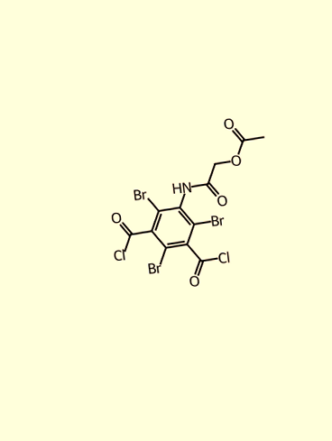 CC(=O)OCC(=O)Nc1c(Br)c(C(=O)Cl)c(Br)c(C(=O)Cl)c1Br